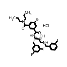 CCCN(CCC)C(=O)c1cc(Br)cc(C(=O)N[C@@H](Cc2cc(F)cc(F)c2)[C@H](O)CNCc2cccc(I)c2)c1.Cl